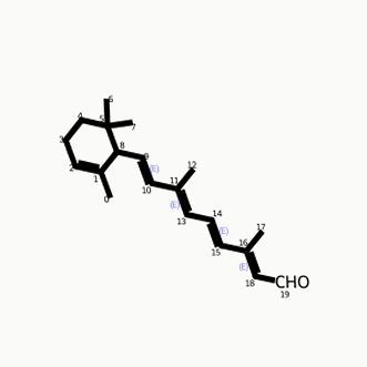 CC1=CCCC(C)(C)C1/C=C/C(C)=C/C=C/C(C)=C/C=O